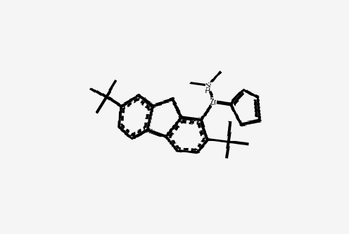 C[SiH](C)[Zr]([C]1=CC=CC1)[c]1c(C(C)(C)C)ccc2c1Cc1cc(C(C)(C)C)ccc1-2